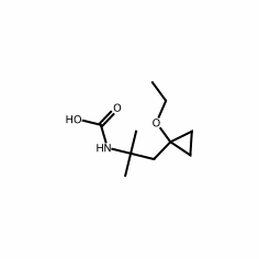 CCOC1(CC(C)(C)NC(=O)O)CC1